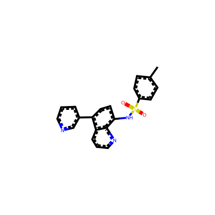 Cc1ccc(S(=O)(=O)Nc2ccc(-c3cccnc3)c3cccnc23)cc1